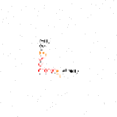 P.P.[O-2].[O-2].[O-2].[O-2].[O-2].[PbH2].[PbH2].[V+5].[V+5]